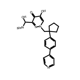 CNC(O)c1nn(CC2(c3ccc(-c4ccncc4)cc3)CCCC2)cc(O)c1=O